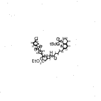 CCOC(=O)CC(CNC(=O)CCCCc1ccc2c(n1)N(C(=O)OC(C)(C)C)CCC2)NC(=O)C1CN(S(=O)(=O)c2ccc(Cl)s2)C1